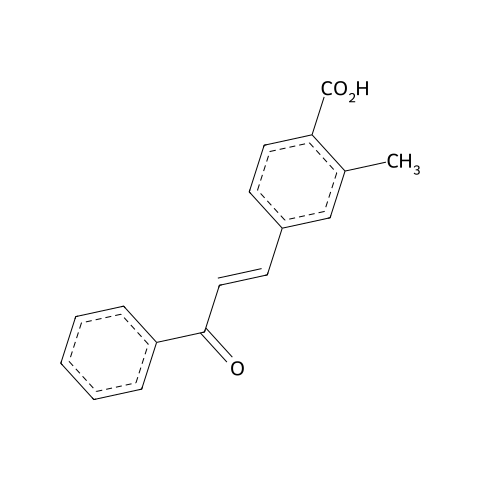 Cc1cc(/C=C/C(=O)c2ccccc2)ccc1C(=O)O